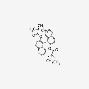 CCN(CC)C(=O)Oc1ccc2ccccc2c1-c1c(OC(=O)C(C)(C)C)ccc2ccccc12